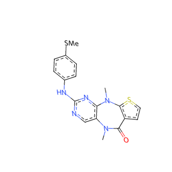 CSc1ccc(Nc2ncc3c(n2)N(C)c2sccc2C(=O)N3C)cc1